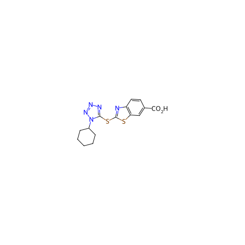 O=C(O)c1ccc2nc(Sc3nnnn3C3CCCCC3)sc2c1